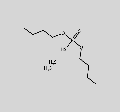 CCCCOP(=S)(S)OCCCC.S.S